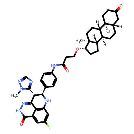 Cn1ncnc1[C@H]1c2n[nH]c(=O)c3cc(F)cc(c23)N[C@@H]1c1ccc(NC(=O)CCO[C@H]2CC[C@H]3[C@@H]4CC[C@H]5CC(=O)CC[C@]5(C)[C@H]4CC[C@]23C)cc1